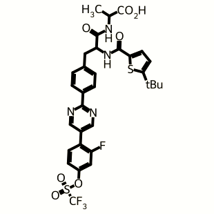 CC(NC(=O)C(Cc1ccc(-c2ncc(-c3ccc(OS(=O)(=O)C(F)(F)F)cc3F)cn2)cc1)NC(=O)c1ccc(C(C)(C)C)s1)C(=O)O